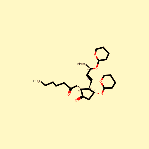 CCCCC[C@H](/C=C/[C@H]1[C@H](OC2CCCCO2)CC(=O)[C@@H]1CC(=O)CCCCC(=O)O)OC1CCCCO1